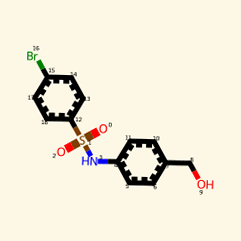 O=S(=O)(Nc1ccc(CO)cc1)c1ccc(Br)cc1